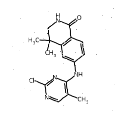 Cc1cnc(Cl)nc1Nc1ccc2c(c1)C(C)(C)CNC2=O